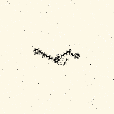 O=C(CCCCCOC(=O)CC(C(=O)O)C(CC(=O)OCCCCCC(=O)OCCN1CCOCC1)C(=O)O)OCCN1CCOCC1